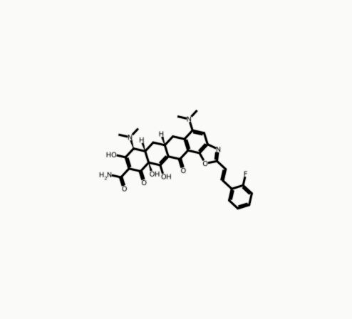 CN(C)c1cc2nc(C=Cc3ccccc3F)oc2c2c1C[C@H]1C[C@H]3[C@H](N(C)C)C(O)=C(C(N)=O)C(=O)[C@@]3(O)C(O)=C1C2=O